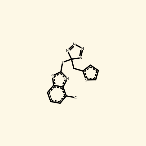 Clc1cccc2sc(SC3(Cc4cccs4)N=NN=N3)nc12